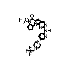 CN1C(=O)c2cc3cnc(Nc4ccc(N5CCN(CC(F)(F)F)CC5)cn4)nc3n2C2CCCC21